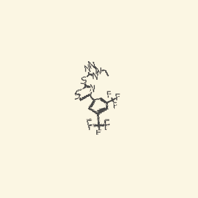 CCn1nnc(Sc2nc(-c3cc(C(F)(F)F)cc(C(F)(F)F)c3)cs2)n1